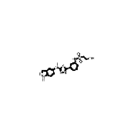 O=S(=O)(CCO)Nc1cccc(-c2nnc(Nc3ccc4[nH]ncc4c3)s2)c1